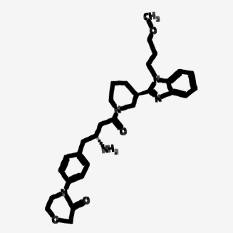 COCCCn1c([C@@H]2CCCN(C(=O)C[C@H](N)Cc3ccc(N4CCOCC4=O)cc3)C2)nc2ccccc21